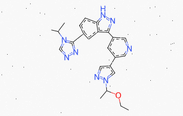 CCOC(C)n1cc(-c2cncc(-c3n[nH]c4ccc(-c5nncn5C(C)C)cc34)c2)cn1